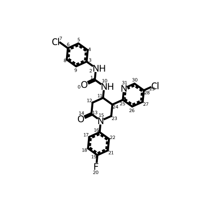 O=C(Nc1ccc(Cl)cc1)NC1CC(=O)N(c2ccc(F)cc2)CC1c1ccc(Cl)cn1